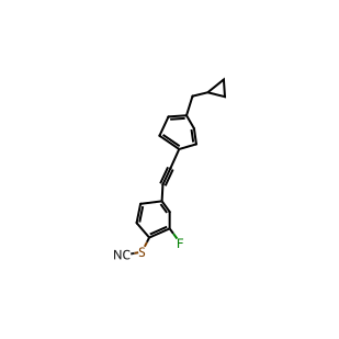 N#CSc1ccc(C#Cc2ccc(CC3CC3)cc2)cc1F